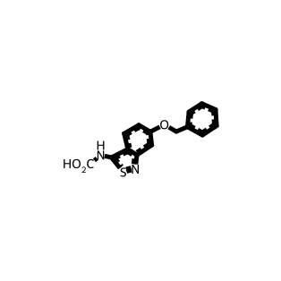 O=C(O)Nc1snc2cc(OCc3ccccc3)ccc12